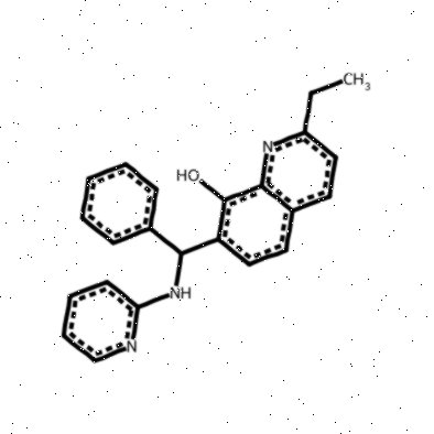 CCc1ccc2ccc(C(Nc3ccccn3)c3ccccc3)c(O)c2n1